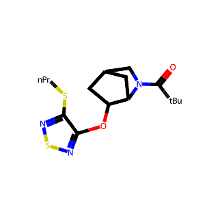 CCCSc1nsnc1OC1CC2CC1N(C(=O)C(C)(C)C)C2